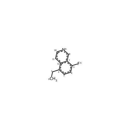 CCc1ccc(F)c2cnccc12